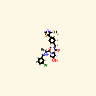 Cc1ncsc1-c1ccc(CNC(=O)[C@@H]2C[C@@H](O)CN2C(=O)C(NCc2cccc(Br)c2)C(C)(C)C)cc1